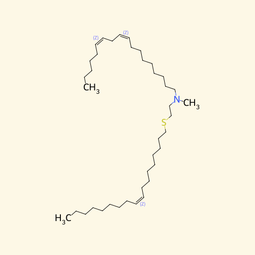 CCCCC/C=C\C/C=C\CCCCCCCCN(C)CCSCCCCCCCC/C=C\CCCCCCCC